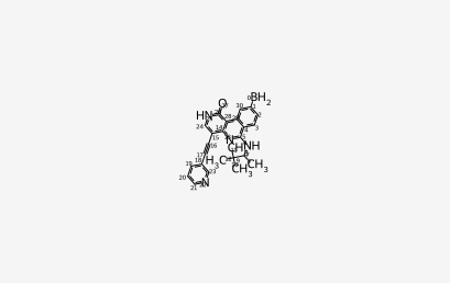 Bc1ccc2c(NC(C)C(C)(C)C)nc3c(C#Cc4cccnc4)c[nH]c(=O)c3c2c1